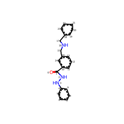 O=C(NNc1ccccc1)c1cccc(CNCc2ccccc2)c1